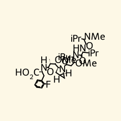 CC[C@H](C)C([C@@H](CC(=O)N1[C@H]2C[C@H]2C[C@H]1[C@H](OC)[C@@H](C)C(=O)N[C@@H](Cc1ccccc1F)C(=O)O)OC)N(C)C(=O)C(NC(=O)[C@@H](NC)C(C)C)C(C)C